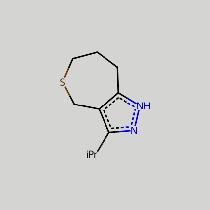 CC(C)c1n[nH]c2c1CSCCC2